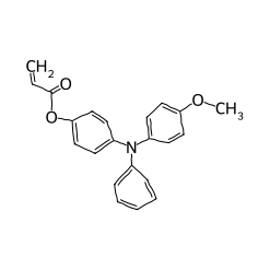 C=CC(=O)Oc1ccc(N(c2ccccc2)c2ccc(OC)cc2)cc1